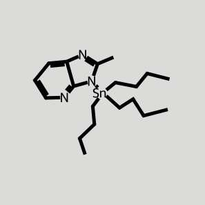 CCC[CH2][Sn]([CH2]CCC)([CH2]CCC)[n]1c(C)nc2cccnc21